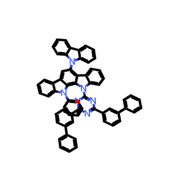 c1ccc(-c2cccc(-c3nc(-c4cccc(-c5ccccc5)c4)nc(-n4c5ccccc5c5c(-n6c7ccccc7c7ccccc76)cc6c7ccccc7n(-c7ccccc7)c6c54)n3)c2)cc1